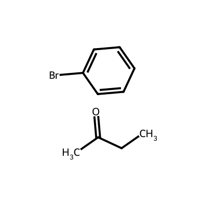 Brc1ccccc1.CCC(C)=O